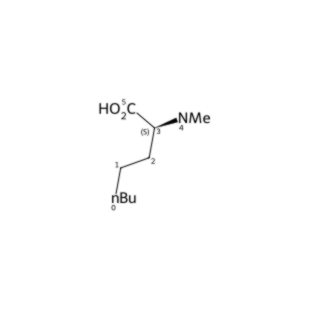 CCCCCC[C@H](NC)C(=O)O